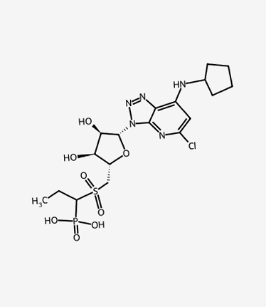 CCC(P(=O)(O)O)S(=O)(=O)C[C@H]1O[C@@H](n2nnc3c(NC4CCCC4)cc(Cl)nc32)[C@H](O)[C@@H]1O